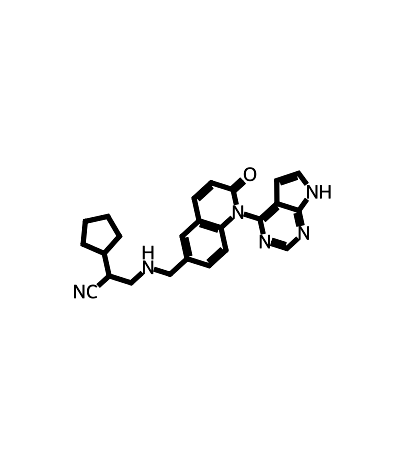 N#CC(CNCc1ccc2c(ccc(=O)n2-c2ncnc3[nH]ccc23)c1)C1CCCC1